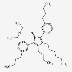 CCCCCCC1=C(c2cccc(CCCC)c2)[N+](=[N-])C(c2cccc(CCCC)c2)=C1CCCC.C[CH2][Ni][CH2]C